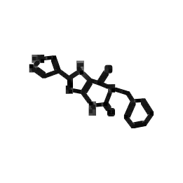 O=c1[nH]c2nc(-c3cn[nH]c3)[nH]c2c(=O)n1Cc1ccccc1